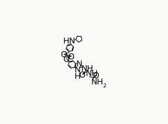 NC(=O)CNC(=O)Nc1nc2cc(OS(=O)(=O)c3ccc(NC4CCCC4)cc3)ccc2[nH]1